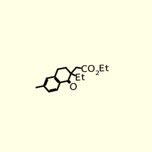 CCOC(=O)CC1(CC)CCc2cc(C)ccc2C1=O